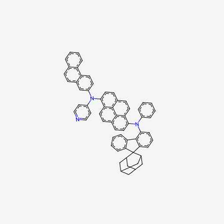 c1ccc(N(c2cccc3c2-c2ccccc2C32C3CC4CC(C3)CC2C4)c2ccc3ccc4c(N(c5ccncc5)c5ccc6c(ccc7ccccc76)c5)ccc5ccc2c3c54)cc1